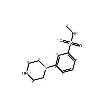 CNS(=O)(=O)c1cccc(N2CCNCC2)c1